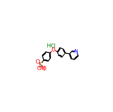 Cl.O=S(=O)(O)c1ccc(Oc2ccc(-c3cccnc3)cc2)cc1